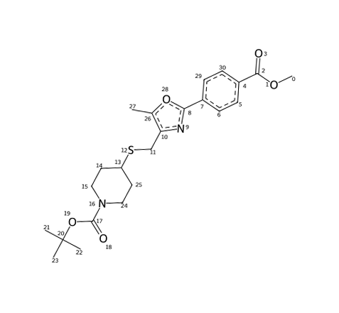 COC(=O)c1ccc(-c2nc(CSC3CCN(C(=O)OC(C)(C)C)CC3)c(C)o2)cc1